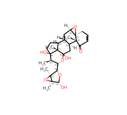 C[C@@H]1[C@@H]([C@@H]2O[C@H](O)[C@@]3(C)O[C@@]23C)O[C@@]2(O)C[C@H]3[C@@H](C[C@H]4O[C@]45CC=CC(=O)[C@]35C)[C@@H]3CC[C@]1(O)[C@]32C